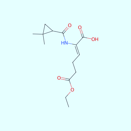 CCOC(=O)CC/C=C(\NC(=O)C1CC1(C)C)C(=O)O